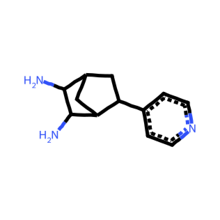 NC1C2CC(c3ccncc3)C(C2)C1N